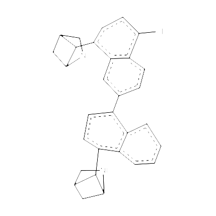 Clc1ccc(C2C3CNC2C3)c2cc(-c3ccc(C4C5CNC4C5)c4ccccc34)ccc12